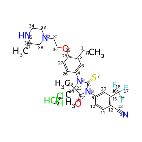 CCc1cc(N2C(=S)N(c3ccc(C#N)c(C(F)(F)F)c3)C(=O)C2(C)C)ccc1OCCN1CCN[C@@H](C)C1.Cl.Cl